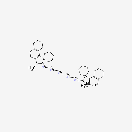 C=C(/C=C/C=C/C=C/C=C/C=C1/N(C)c2ccc3c(c2C12CCCCC2)CCCC3)C1(c2c(C)ccc3c2CCCC3)CCCCC1